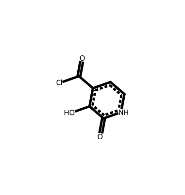 O=C(Cl)c1cc[nH]c(=O)c1O